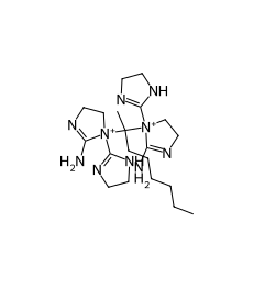 CCCCCCC(C)([N+]1(C2=NCCN2)CCN=C1N)[N+]1(C2=NCCN2)CCN=C1N